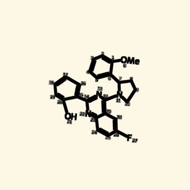 COc1ccccc1C1CCCN1c1nc(-c2ccccc2O)nc2ccc(F)cc12